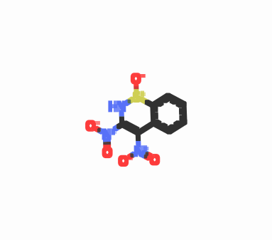 O=[N+]([O-])C1=C([N+](=O)[O-])c2ccccc2[S+]([O-])N1